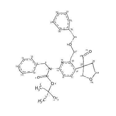 CC(C)(C)OC(=O)N(Cc1ccccc1)c1ccc(C2(C=O)CCOC2)c(COCc2ccccc2)n1